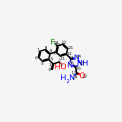 C=C(CO)c1ccccc1-c1cc(-c2n[nH]c(C(N)=O)n2)ccc1F